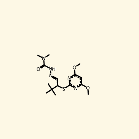 COc1cc(OC)nc(SC(C=NNC(=O)N(C)C)C(C)(C)C)n1